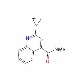 CNC(=O)c1cc(C2CC2)nc2ccccc12